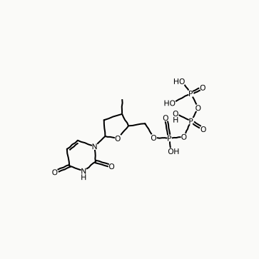 CC1CC(n2ccc(=O)[nH]c2=O)OC1COP(=O)(O)OP(=O)(O)OP(=O)(O)O